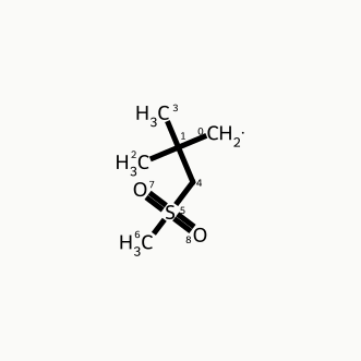 [CH2]C(C)(C)CS(C)(=O)=O